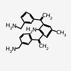 C=C(c1cccc(CN)c1)c1cc(C)cc(C(=C)c2cccc(CN)c2)c1N